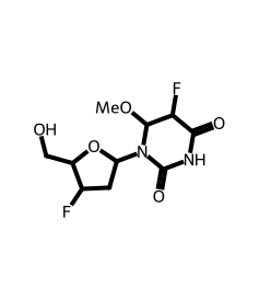 COC1C(F)C(=O)NC(=O)N1C1CC(F)C(CO)O1